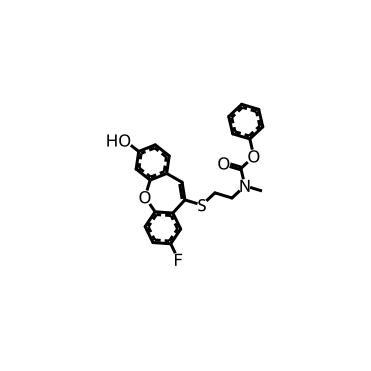 CN(CCSC1=Cc2ccc(O)cc2Oc2ccc(F)cc21)C(=O)Oc1ccccc1